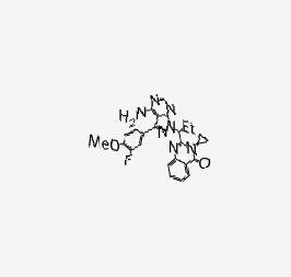 CCC(c1nc2ccccc2c(=O)n1C1CC1)n1nc(-c2ccc(OC)c(F)c2)c2c(N)ncnc21